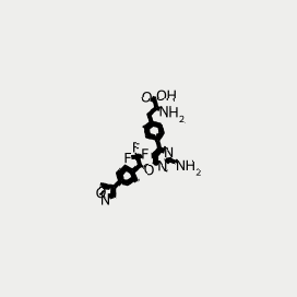 Nc1nc(O[C@@H](c2ccc(-c3cnoc3)cc2)C(F)(F)F)cc(-c2ccc(CC(N)C(=O)O)cc2)n1